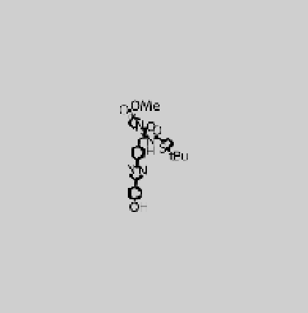 COC(=O)[C@H]1CCN(C(=O)[C@H](Cc2ccc(-c3ncc(-c4ccc(O)cc4)cn3)cc2)NC(=O)c2ccc(C(C)(C)C)s2)C1